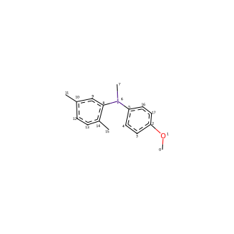 COc1ccc(I(C)c2cc(C)ccc2C)cc1